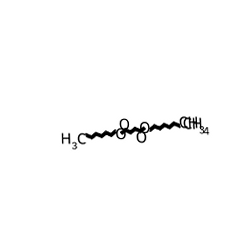 C.CCCCCCCCOC(=O)CCC(=O)OCCCCCCCC